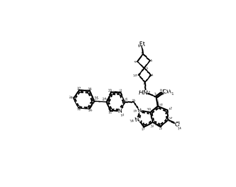 C=C(NC1CC2(CC(CC)C2)C1)c1cc(Cl)cc2cnn(Cc3ccc(-c4ccccc4)cn3)c12